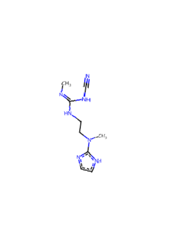 C/N=C(\NC#N)NCCN(C)c1ncc[nH]1